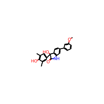 COc1cccc(-c2ccc3c(c2)NC(=O)C3(O)c2cc(C)c(O)c(C)c2)c1